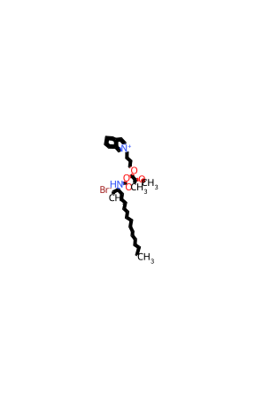 CCCCCCCCCCCCCCCC(CC)NC(=O)OC(OCCCC[n+]1ccc2ccccc2c1)C(C)OC.[Br-]